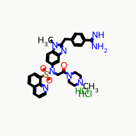 CN1CCN(C(=O)CN(c2ccc3c(c2)nc(Cc2ccc(C(=N)N)cc2)n3C)S(=O)(=O)c2cccc3cccnc23)CC1.Cl.Cl